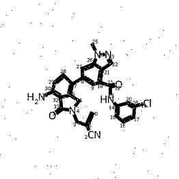 C=C(C#N)CN1Cc2c(-c3cc(C(=O)Nc4cccc(Cl)c4)c4cnn(C)c4c3)ccc(N)c2C1=O